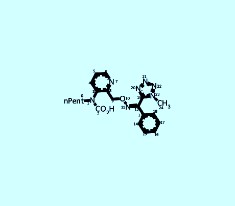 CCCCCN(C(=O)O)c1cccnc1CON=C(c1ccccc1)c1nnnn1C